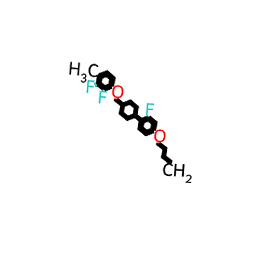 C=CCCCOc1ccc(C2CCC(COc3ccc(C)c(F)c3F)CC2)c(F)c1